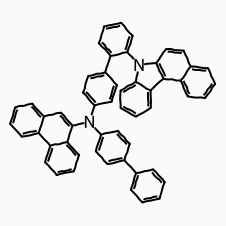 c1ccc(-c2ccc(N(c3ccc(-c4ccccc4-n4c5ccccc5c5c6ccccc6ccc54)cc3)c3cc4ccccc4c4ccccc34)cc2)cc1